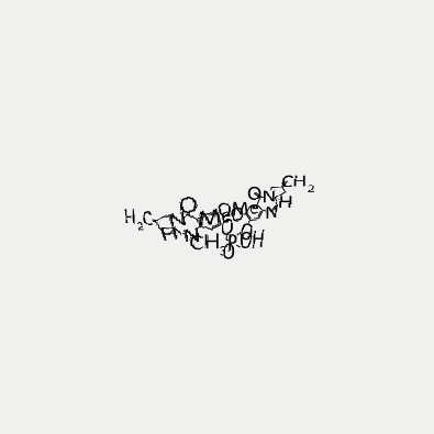 C=C1C[C@H]2CN(C)c3cc(OCP(=O)(CO)COc4cc5c(cc4OC)C(=O)N4CC(=C)C[C@H]4C=N5)c(OC)cc3C(=O)N2C1